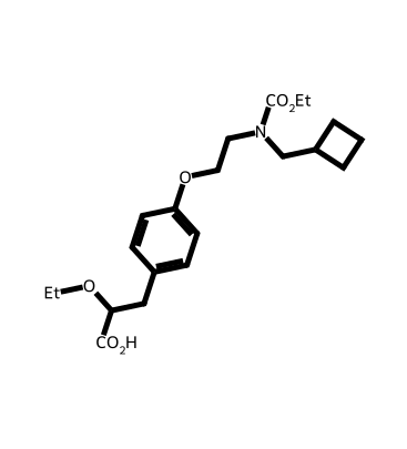 CCOC(=O)N(CCOc1ccc(CC(OCC)C(=O)O)cc1)CC1CCC1